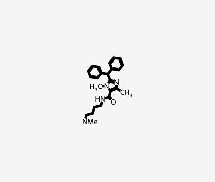 CNCCCCNC(=O)c1c(C)nc(C(c2ccccc2)c2ccccc2)n1C